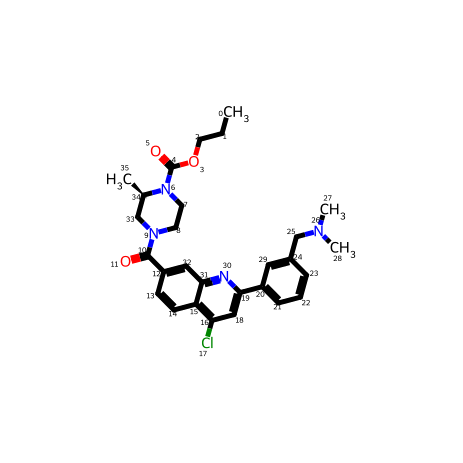 CCCOC(=O)N1CCN(C(=O)c2ccc3c(Cl)cc(-c4cccc(CN(C)C)c4)nc3c2)C[C@H]1C